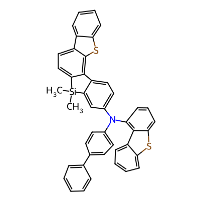 C[Si]1(C)c2cc(N(c3ccc(-c4ccccc4)cc3)c3cccc4sc5ccccc5c34)ccc2-c2c1ccc1c2sc2ccccc21